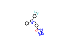 O=C(Nc1nn[nH]n1)c1ccc(Cn2nc(-c3ccccc3)cc2-c2ccc(C(F)(F)F)cc2)cc1